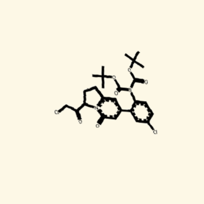 CC(C)(C)OC(=O)N(C(=O)OC(C)(C)C)c1ccc(Cl)cc1-c1cc2n(c(=O)c1)C(C(=O)CCl)CC2